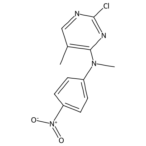 Cc1cnc(Cl)nc1N(C)c1ccc([N+](=O)[O-])cc1